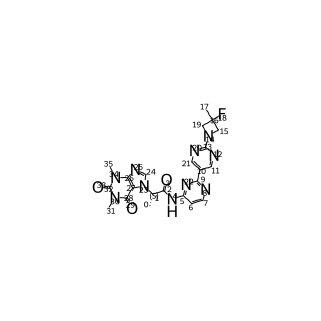 C[C@@H](C(=O)Nc1ccnc(-c2cnc(N3CC(C)(F)C3)nc2)n1)n1cnc2c1c(=O)n(C)c(=O)n2C